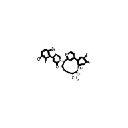 C[C@@H]1CCC[C@H](N2CCC(c3c(Br)ccc(Cl)c3F)=CC2=O)c2cc(ccn2)-c2cc(F)c(F)cc2NC1=O